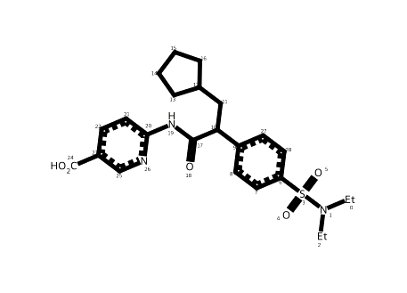 CCN(CC)S(=O)(=O)c1ccc(C(CC2CCCC2)C(=O)Nc2ccc(C(=O)O)cn2)cc1